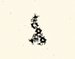 COc1cc(-c2nc3ccc(N4CCCN(C(=O)OC(C)(C)C)CC4)cc3c(=O)n2CC(=O)NC(C)(C)C)ccc1F